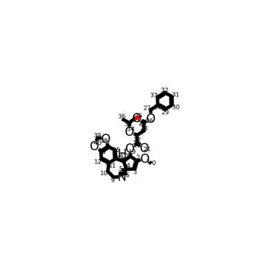 COC1=CC23CCCN2CCc2cc4c(cc2[C@@H]3C1OC(=O)C(CC(=O)OCc1ccccc1)OC(C)C)OCO4